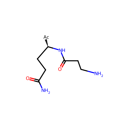 CC(=O)[C@H](CCC(N)=O)NC(=O)CCN